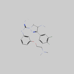 CN(C)CCOc1cccc(N/C(=N/C#N)N2CC(NC(=O)O)C(c3ccc(Cl)c(Cl)c3)=N2)c1